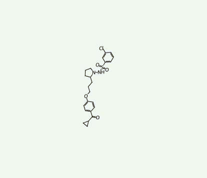 O=C(c1ccc(OCCCC2CCCN2NS(=O)(=O)c2cccc(Cl)c2)cc1)C1CC1